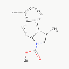 CSc1cccc2c3c(ccc12)N(C(=O)OC(C)(C)C)CC3C